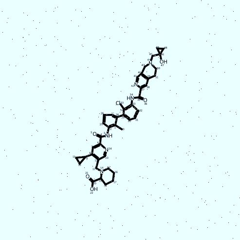 Cc1c(NC(=O)c2cc(C3CC3)c(CN3CCCCC3C(=O)O)cn2)cccc1-c1cccc(NC(=O)c2cc3c(cn2)CN(CC2(O)CC2)CC3)c1Cl